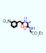 CCOC(=O)CNC(=O)[C@H](C)NC(=O)Cc1cccc([N+](=O)[O-])c1